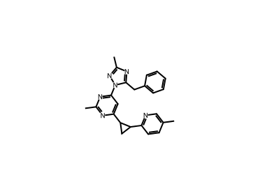 Cc1ccc(C2CC2c2cc(-n3nc(C)nc3Cc3ccccc3)nc(C)n2)nc1